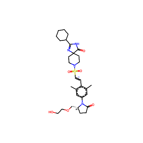 Cc1cc(N2C(=O)CC[C@@H]2COCCO)cc(C)c1/C=C/S(=O)(=O)N1CCC2(CC1)N=C(C1CCCCC1)NC2=O